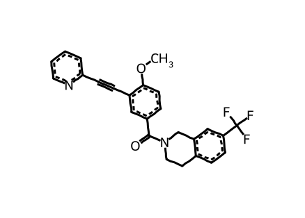 COc1ccc(C(=O)N2CCc3ccc(C(F)(F)F)cc3C2)cc1C#Cc1ccccn1